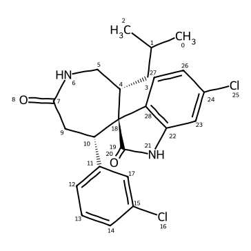 CC(C)C[C@H]1CNC(=O)C[C@@H](c2cccc(Cl)c2)[C@]12C(=O)Nc1cc(Cl)ccc12